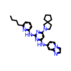 CCCCc1cccc(Nc2nc(Nc3ccn4ccnc4c3)cc(N3CCC4(CCCC4)C3)n2)n1